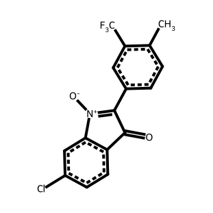 Cc1ccc(C2=[N+]([O-])c3cc(Cl)ccc3C2=O)cc1C(F)(F)F